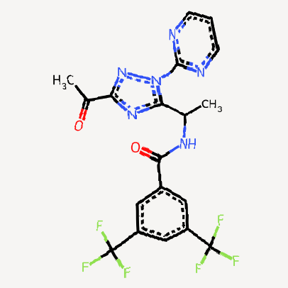 CC(=O)c1nc(C(C)NC(=O)c2cc(C(F)(F)F)cc(C(F)(F)F)c2)n(-c2ncccn2)n1